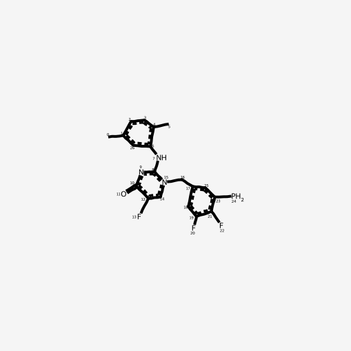 Cc1ccc(C)c(Nc2nc(=O)c(F)cn2Cc2cc(F)c(F)c(P)c2)c1